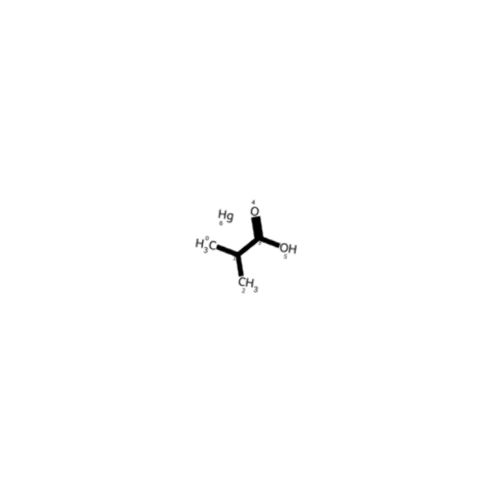 CC(C)C(=O)O.[Hg]